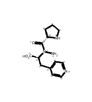 NN(C(=O)[C@@H]1CCCN1)[C@@H](Cc1ccncc1)C(=O)O